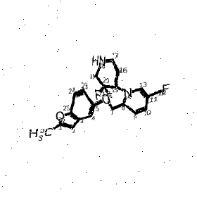 Cc1cc2cc(OCC3C=CC(F)=CN3C3CCNCC3(F)F)ccc2o1